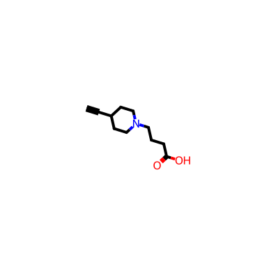 C#CC1CCN(CCCC(=O)O)CC1